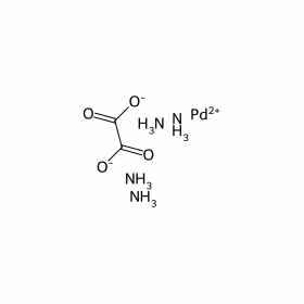 N.N.N.N.O=C([O-])C(=O)[O-].[Pd+2]